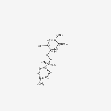 Cc1ccc(S(=O)(=O)CCC(NC(=O)OC(C)(C)C)C(F)F)cc1